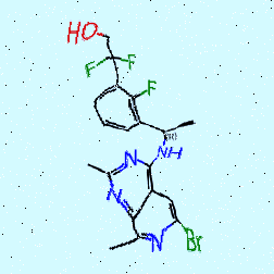 Cc1nc(N[C@H](C)c2cccc(C(F)(F)CO)c2F)c2cc(Br)nc(C)c2n1